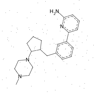 CN1CCN(C2CCCC2Cc2cccc(-c3cccc(N)n3)c2)CC1